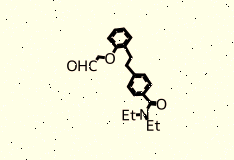 CCN(CC)C(=O)c1ccc(CCc2ccccc2OCC=O)cc1